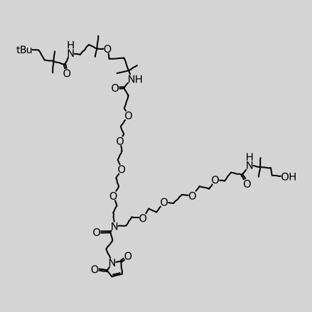 CC(C)(C)CCC(C)(C)C(=O)NCCC(C)(C)OCCC(C)(C)NC(=O)CCOCCOCCOCCOCCN(CCOCCOCCOCCOCCC(=O)NC(C)(C)CCO)C(=O)CCN1C(=O)C=CC1=O